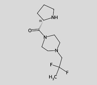 CC(F)(F)CN1CCN(C(=O)[C@@H]2CCCN2)CC1